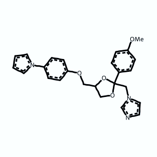 COc1ccc(C2(Cn3ccnc3)OCC(COc3ccc(-n4cccc4)cc3)O2)cc1